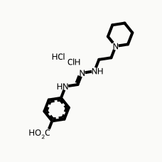 Cl.Cl.O=C(O)c1ccc(NC=NNCCN2CCCCC2)cc1